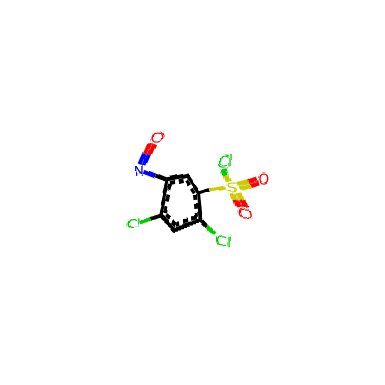 O=Nc1cc(S(=O)(=O)Cl)c(Cl)cc1Cl